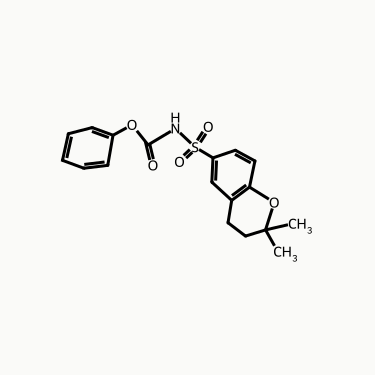 CC1(C)CCc2cc(S(=O)(=O)NC(=O)Oc3ccccc3)ccc2O1